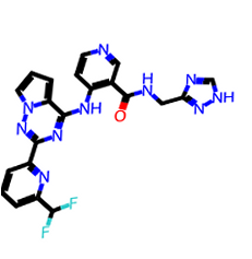 O=C(NCc1nc[nH]n1)c1cnccc1Nc1nc(-c2cccc(C(F)F)n2)nn2cccc12